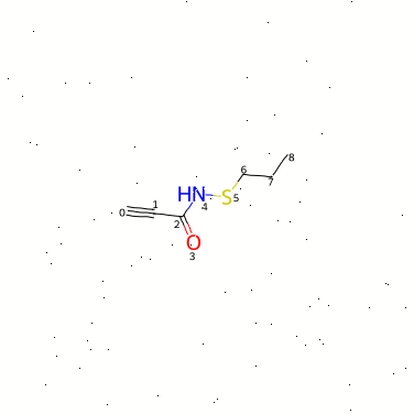 C#CC(=O)NSCCC